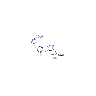 COc1cc2ncnc(Nc3ccc(Oc4ccn(C(=O)O)n4)cc3F)c2cc1N